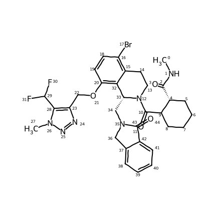 CNC(=O)[C@@H]1CCCCC1C(=O)N1CCc2c(Br)ccc(OCc3nnn(C)c3C(F)F)c2[C@H]1CN1Cc2ccccc2C1=O